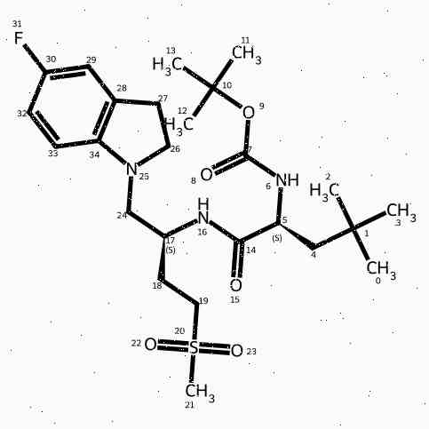 CC(C)(C)C[C@H](NC(=O)OC(C)(C)C)C(=O)N[C@@H](CCS(C)(=O)=O)CN1CCc2cc(F)ccc21